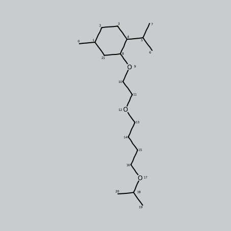 CC1CCC(C(C)C)C(OCCOCCCCOC(C)C)C1